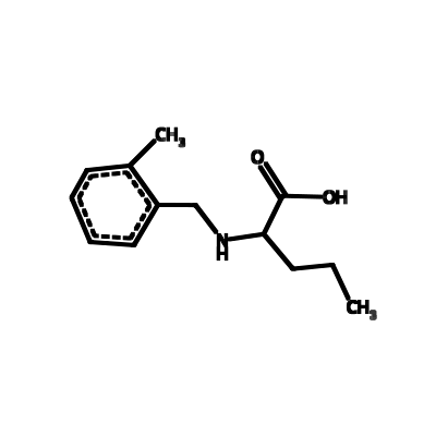 CCCC(NCc1ccccc1C)C(=O)O